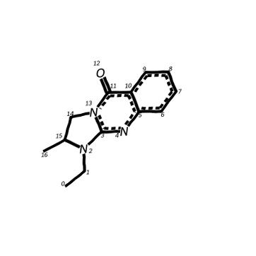 CCN1c2nc3ccccc3c(=O)n2CC1C